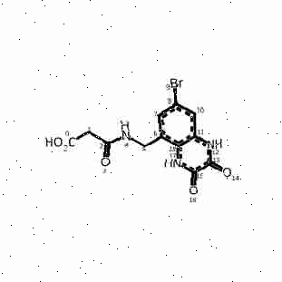 O=C(O)CC(=O)NCc1cc(Br)cc2[nH]c(=O)c(=O)[nH]c12